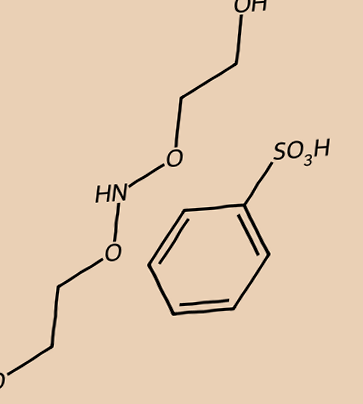 O=S(=O)(O)c1ccccc1.OCCONOCCO